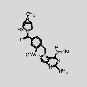 CCCCNc1nc(N)nc2cnn(Cc3ccc(C(=O)N4CC5C[C@@H]4CN5C)cc3OC)c12